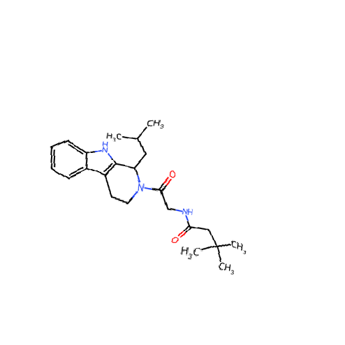 CC(C)CC1c2[nH]c3ccccc3c2CCN1C(=O)CNC(=O)CC(C)(C)C